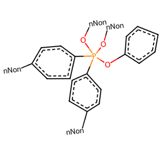 CCCCCCCCCOP(OCCCCCCCCC)(Oc1ccccc1)(c1ccc(CCCCCCCCC)cc1)c1ccc(CCCCCCCCC)cc1